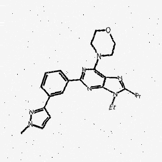 CCn1c(C(C)C)nc2c(N3CCOCC3)nc(-c3cccc(-c4ccn(C)n4)c3)nc21